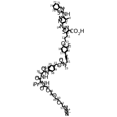 Cc1cc(N(C)c2nc(C(=O)O)c(CCCOc3ccc(C#CCN(C)C(=O)OCc4ccc(NC(=O)[C@H](C)NC(=O)[C@@H](NC(=O)COCCOCCOCCN=[N+]=[N-])C(C)C)cc4)cc3F)s2)nnc1Nc1nc2ccccc2s1